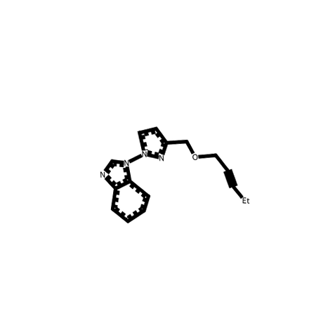 CCC#CCOCc1ccn(-n2cnc3ccccc32)n1